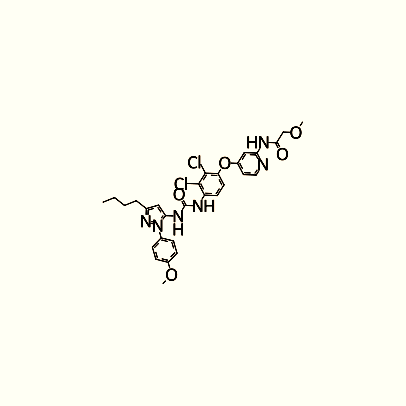 CCCCc1cc(NC(=O)Nc2ccc(Oc3ccnc(NC(=O)COC)c3)c(Cl)c2Cl)n(-c2ccc(OC)cc2)n1